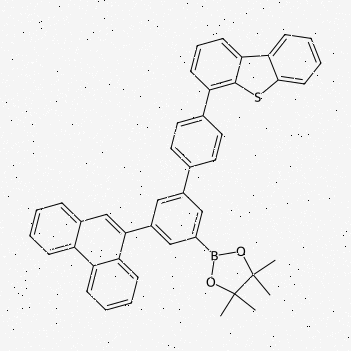 CC1(C)OB(c2cc(-c3ccc(-c4cccc5c4sc4ccccc45)cc3)cc(-c3cc4ccccc4c4ccccc34)c2)OC1(C)C